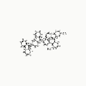 N#Cc1ccc2c3ccccc3n(-c3cccc(C#N)c3-c3ccc(-n4c5ccccc5c5cc(-n6c7ccccc7c7ccccc76)ccc54)cc3)c2c1